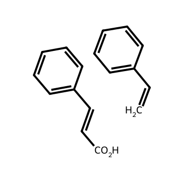 C=Cc1ccccc1.O=C(O)C=Cc1ccccc1